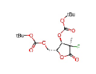 CC(C)(C)OC(=O)OC[C@H]1OC(=O)[C@](C)(F)[C@@H]1OC(=O)OC(C)(C)C